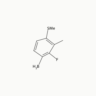 Bc1ccc(SC)c(C)c1F